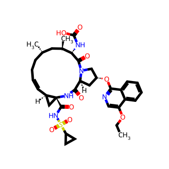 CCOc1cnc(O[C@@H]2C[C@H]3C(=O)N[C@]4(C(=O)NS(=O)(=O)C5CC5)C[C@H]4/C=C\CC[C@H](C)C[C@@H](C)[C@H](NC(=O)O)C(=O)N3C2)c2ccccc12